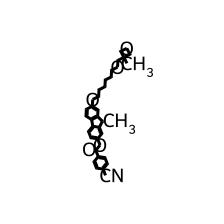 CC1c2cc(OCCCCCCOCC3(C)COC3)ccc2-c2ccc(OC(=O)c3ccc(C#N)cc3)cc21